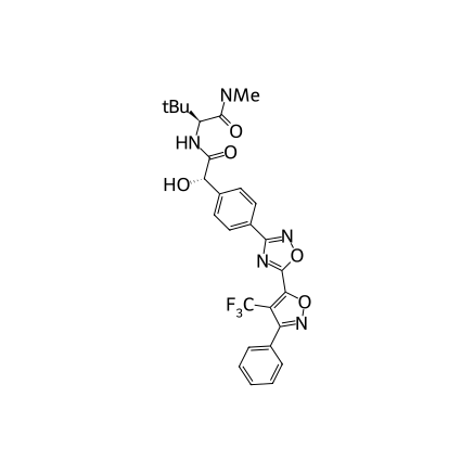 CNC(=O)[C@@H](NC(=O)[C@@H](O)c1ccc(-c2noc(-c3onc(-c4ccccc4)c3C(F)(F)F)n2)cc1)C(C)(C)C